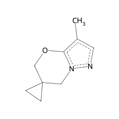 Cc1cnn2c1OCC1(CC1)C2